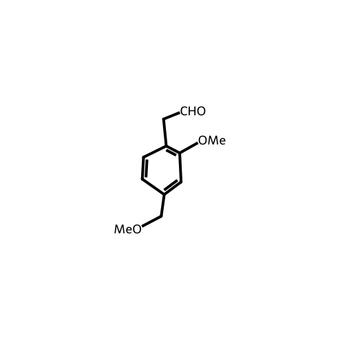 COCc1ccc(CC=O)c(OC)c1